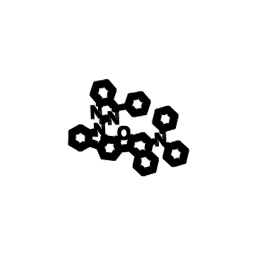 c1ccc(-c2nc(-n3c4ccccc4c4ccc5c(oc6cc(N(c7ccccc7)c7ccccc7)c7ccccc7c65)c43)nc3ccccc23)cc1